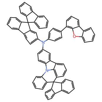 c1ccc2c(c1)-c1ccccc1C21c2ccccc2-c2ccc(N(c3ccc(-c4cccc5c4oc4ccccc45)cc3)c3ccc4c(c3)c3cccc5c3n4-c3ccccc3C53c4ccccc4-c4ccccc43)cc21